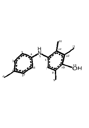 Cc1ccc(Nc2cc(C)c(O)c(C)c2C)cc1